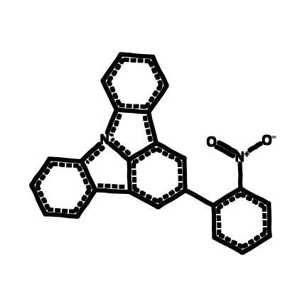 O=[N+]([O-])c1ccccc1-c1cc2c3ccccc3n3c4ccccc4c(c1)c23